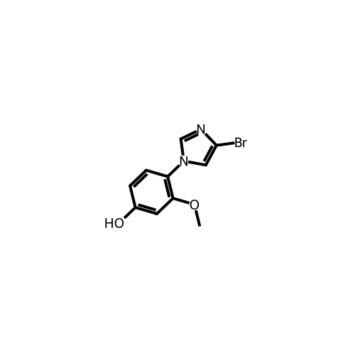 COc1cc(O)ccc1-n1cnc(Br)c1